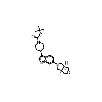 CC(C)(C)OC(=O)N1CCC(c2cnn3cc(N4C[C@H]5COC[C@H]5C4)ccc23)CC1